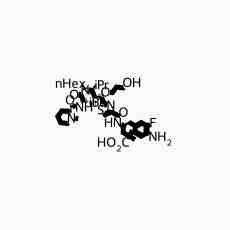 CCCCCCN(C(=O)[C@@H](NC(=O)[C@H]1CCCCN1C)[C@@H](C)CC)[C@H](C[C@@H](OCCCO)c1nc(C(=O)N[C@@H](Cc2ccc(N)c(F)c2)CC(C)(C)C(=O)O)cs1)C(C)C